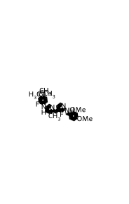 COc1ccc(CNc2nccc(Cc3ncc(Nc4ccc([Si](C)(C)C)cc4F)cc3C)c2F)c(OC)c1